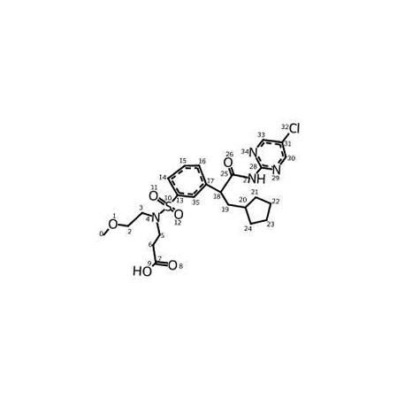 COCCN(CCC(=O)O)S(=O)(=O)c1cccc(C(CC2CCCC2)C(=O)Nc2ncc(Cl)cn2)c1